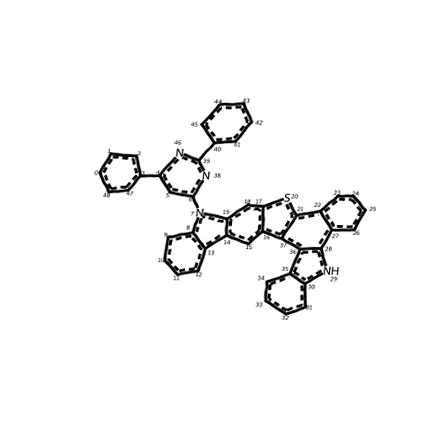 c1ccc(-c2cc(-n3c4ccccc4c4cc5c(cc43)sc3c4ccccc4c4[nH]c6ccccc6c4c53)nc(-c3ccccc3)n2)cc1